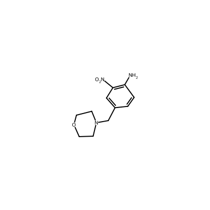 Nc1ccc(CN2CCOCC2)cc1[N+](=O)[O-]